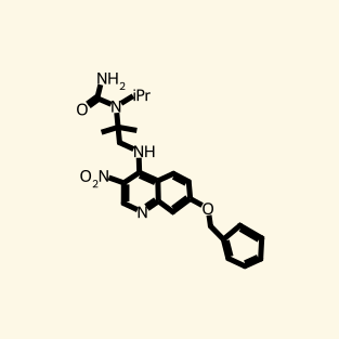 CC(C)N(C(N)=O)C(C)(C)CNc1c([N+](=O)[O-])cnc2cc(OCc3ccccc3)ccc12